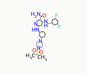 CC(C)S(=O)(=O)N1CCN(c2cccc(Nc3cc(NCc4cc(F)cc(F)c4)c(C(N)=O)cn3)c2)CC1